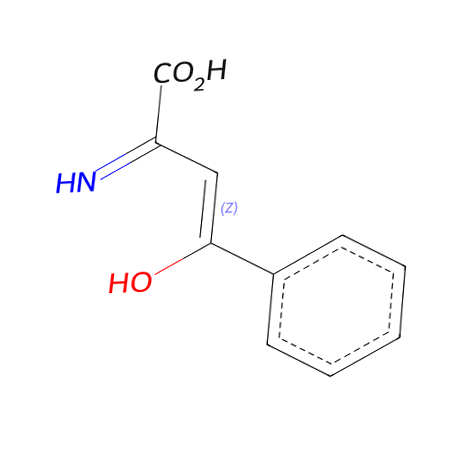 N=C(/C=C(\O)c1ccccc1)C(=O)O